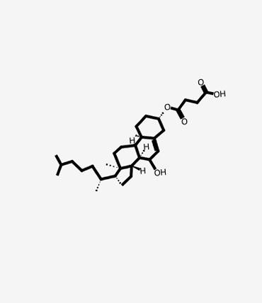 CC(C)CCC[C@@H](C)[C@H]1CC[C@H]2[C@@H]3C(O)C=C4C[C@@H](OC(=O)CCC(=O)O)CC[C@]4(C)[C@H]3CC[C@]12C